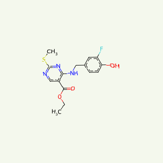 CCOC(=O)c1cnc(SC)nc1NCc1ccc(O)c(F)c1